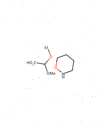 C1C[CH2][AlH][O]C1.CCOC(OC)C(=O)O